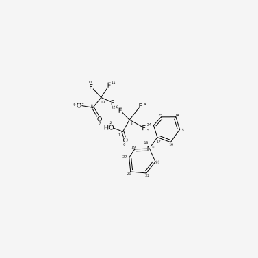 O=C(O)C(F)(F)F.O=C([O-])C(F)(F)F.c1ccc(-[n+]2ccccc2)cc1